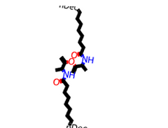 C=C(OC(=C)C(C)NC(=O)CCCCCCCCCCCCCCCCC)C(C)NC(=O)CCCCCCCCCCCCCCCCC